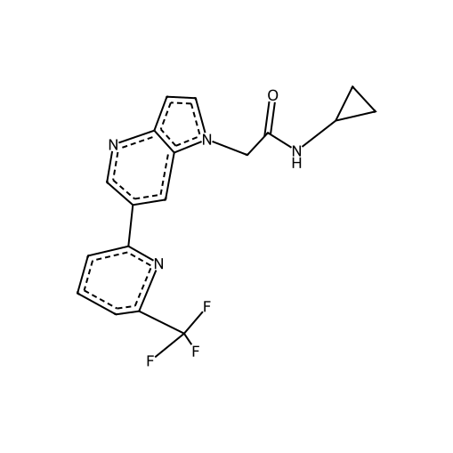 O=C(Cn1ccc2ncc(-c3cccc(C(F)(F)F)n3)cc21)NC1CC1